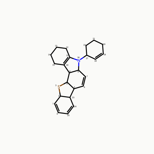 C1=CC2SC3C(C=CC4C3C3=C(CCCC3)N4C3C=CCCC3)C2C=C1